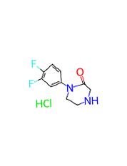 Cl.O=C1CNCCN1c1ccc(F)c(F)c1